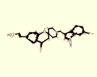 O=C(O)C=Cc1ccc2c(c1)C(=O)CC1(CCN(Cc3c[nH]c4cc(F)ccc34)CC1)O2